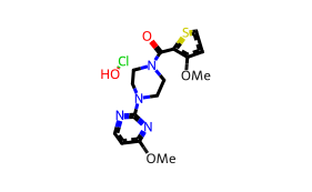 COc1ccnc(N2CCN(C(=O)c3sccc3OC)CC2)n1.OCl